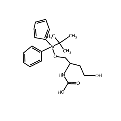 CC(C)(C)[Si](OCC(CCO)NC(=O)O)(c1ccccc1)c1ccccc1